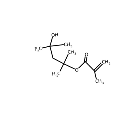 C=C(C)C(=O)OC(C)(C)CC(C)(O)C(F)(F)F